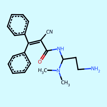 CN(C)C(CCN)NC(=O)C(C#N)=C(c1ccccc1)c1ccccc1